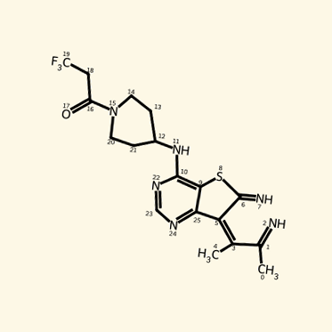 CC(=N)/C(C)=C1\C(=N)Sc2c(NC3CCN(C(=O)CC(F)(F)F)CC3)ncnc21